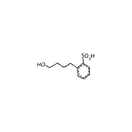 O=S(=O)(O)c1ccccc1CCCCO